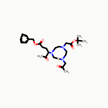 CC(=O)CN1CCN(CC(=O)OC(C)(C)C)CCN(C(CCC(=O)OCc2ccccc2)C(C)=O)CC1